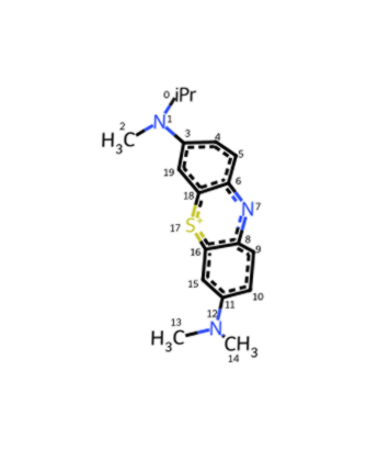 CC(C)N(C)c1ccc2nc3ccc(N(C)C)cc3[s+]c2c1